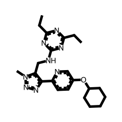 CCc1nc(CC)nc(NCc2c(-c3ccc(OC4CCCCC4)cn3)nnn2C)n1